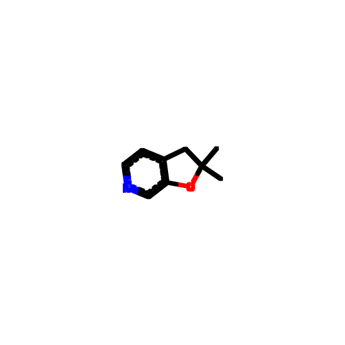 CC1(C)Cc2ccncc2O1